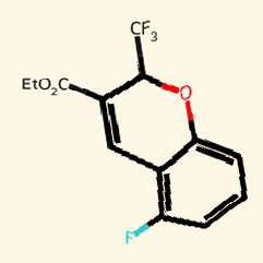 CCOC(=O)C1=Cc2c(F)cccc2OC1C(F)(F)F